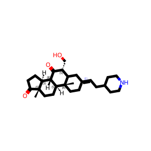 C[C@]12CC/C(=C\CC3CCNCC3)CC1[C@@H](CO)C(=O)[C@@H]1[C@@H]2CC[C@]2(C)C(=O)CC[C@@H]12